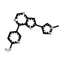 Cn1cc(-c2cc3ncnc(-c4ccc(N)nc4)c3s2)cn1